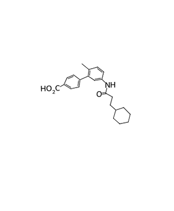 Cc1ccc(NC(=O)CCC2CCCCC2)cc1-c1ccc(C(=O)O)cc1